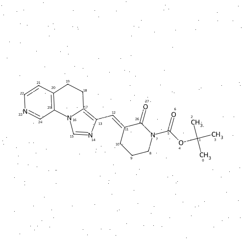 CC(C)(C)OC(=O)N1CCCC(=Cc2ncn3c2CCc2ccncc2-3)C1=O